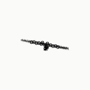 CCCCCCCCCCCCOCCOCCOCCOCCOC(=O)CCN(CCC[Si](C)(OC(C)C)OC(C)C)CCC(=O)OCCOCCOCCOCCOCCCCCCCCCCCC